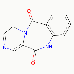 O=C1Nc2ccccc2C(=O)N2CC=NC=C12